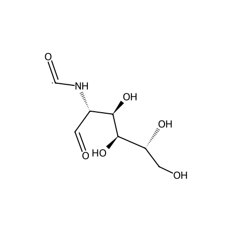 O=[C]N[C@@H](C=O)[C@@H](O)[C@H](O)[C@H](O)CO